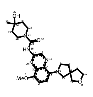 COc1ccc(N2CCC3(CCOC3)C2)c2ncc(NC(=O)N3CCC(C)(O)CC3)nc12